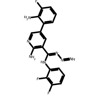 N=N/N=C(\Nc1cccc(F)c1F)c1cc(-c2cccc(F)c2N)cnc1N